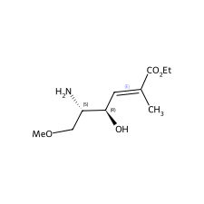 CCOC(=O)/C(C)=C/[C@@H](O)[C@@H](N)COC